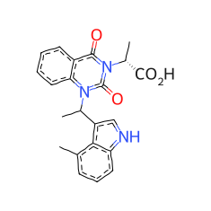 Cc1cccc2[nH]cc(C(C)n3c(=O)n([C@H](C)C(=O)O)c(=O)c4ccccc43)c12